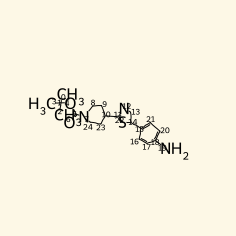 CC(C)(C)OC(=O)N1CCC(C2=NCC(c3ccc(N)cc3)S2)CC1